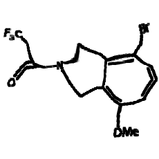 COc1ccc(Br)c2c1CN(C(=O)C(F)(F)F)C2